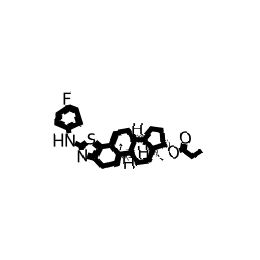 CCC(=O)O[C@H]1CC[C@H]2[C@@H]3CC=C4c5sc(Nc6ccc(F)cc6)nc5CC[C@]4(C)[C@H]3CC[C@]12C